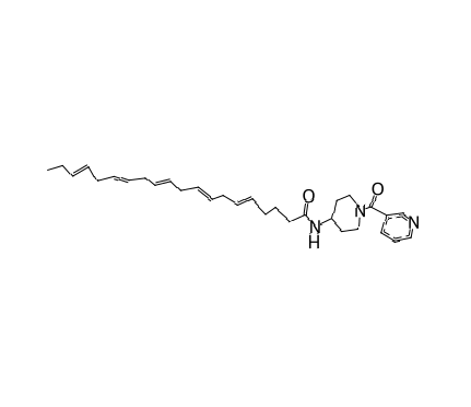 CCC=CCC=CCC=CCC=CCC=CCCCC(=O)NC1CCN(C(=O)c2cccnc2)CC1